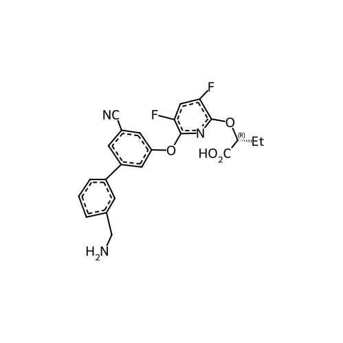 CC[C@@H](Oc1nc(Oc2cc(C#N)cc(-c3cccc(CN)c3)c2)c(F)cc1F)C(=O)O